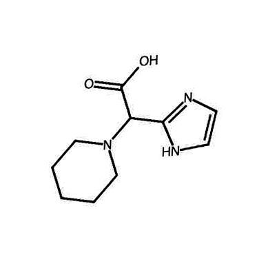 O=C(O)C(c1ncc[nH]1)N1CCCCC1